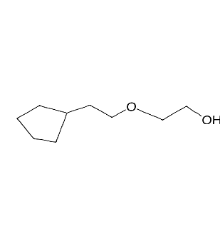 OCCOCCC1CCCC1